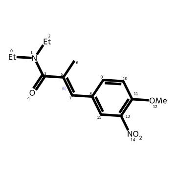 CCN(CC)C(=O)/C(C)=C/c1ccc(OC)c([N+](=O)[O-])c1